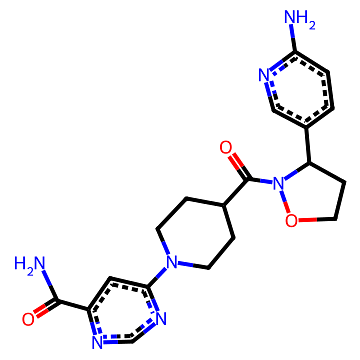 NC(=O)c1cc(N2CCC(C(=O)N3OCCC3c3ccc(N)nc3)CC2)ncn1